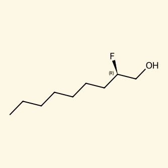 CCCCCCC[C@@H](F)CO